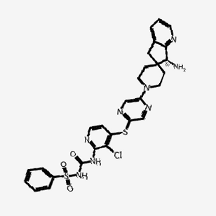 N[C@@H]1c2ncccc2CC12CCN(c1cnc(Sc3ccnc(NC(=O)NS(=O)(=O)c4ccccc4)c3Cl)cn1)CC2